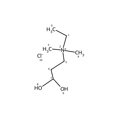 CC[N+](C)(C)CCC(O)O.[Cl-]